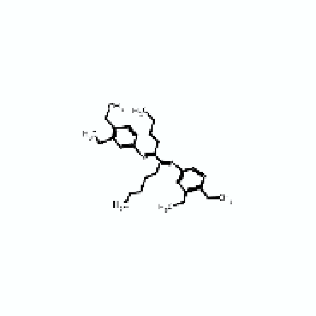 CCCCCC(=Nc1ccc(CC)c(CC)c1)C(CCCC)=Nc1ccc(CC)c(CC)c1